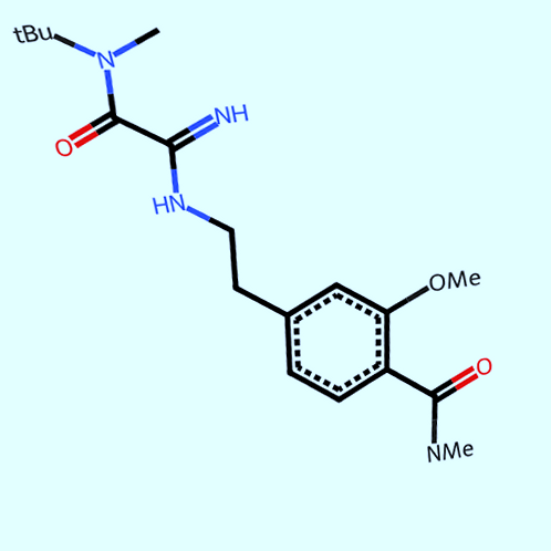 CNC(=O)c1ccc(CCNC(=N)C(=O)N(C)C(C)(C)C)cc1OC